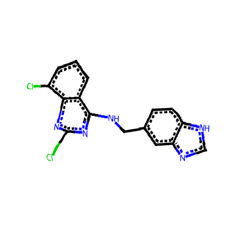 Clc1nc(NCc2ccc3[nH]cnc3c2)c2cccc(Cl)c2n1